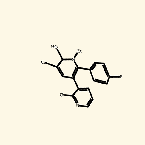 CCN1C(c2ccc(F)cc2)=C(c2cccnc2Cl)C=C(Cl)C1O